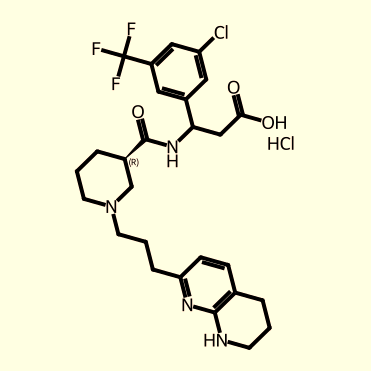 Cl.O=C(O)CC(NC(=O)[C@@H]1CCCN(CCCc2ccc3c(n2)NCCC3)C1)c1cc(Cl)cc(C(F)(F)F)c1